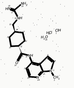 Cl.Cl.Cn1ccc2c(NC(=O)[C@H]3CC[C@H](CNC(=N)N)CC3)ccnc21.O